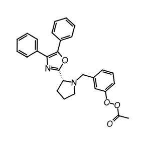 CC(=O)OOc1cccc(CN2CCC[C@@H]2c2nc(-c3ccccc3)c(-c3ccccc3)o2)c1